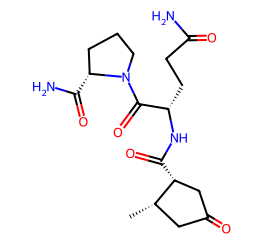 C[C@H]1CC(=O)C[C@H]1C(=O)N[C@@H](CCC(N)=O)C(=O)N1CCC[C@H]1C(N)=O